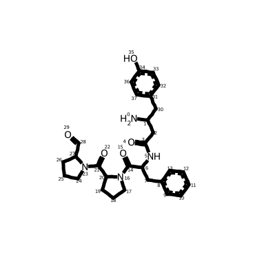 NC(CC(=O)NC(Cc1ccccc1)C(=O)N1CCCC1C(=O)N1CCCC1C=O)Cc1ccc(O)cc1